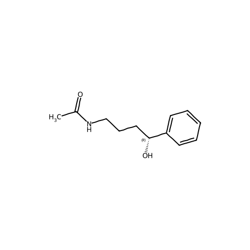 CC(=O)NCCC[C@@H](O)c1ccccc1